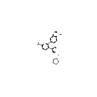 Cn1cnc2cc(-c3nc(C(F)F)ccc3-c3cnn(C[C@H]4CC[C@H](F)C4)c3)ccc21